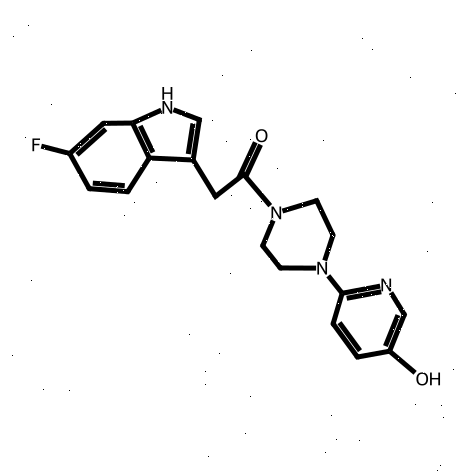 O=C(Cc1c[nH]c2cc(F)ccc12)N1CCN(c2ccc(O)cn2)CC1